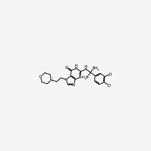 BC(B)(Nc1nc2ncn(CCN3CCOCC3)c2c(=O)[nH]1)c1ccc(Cl)c(Cl)c1